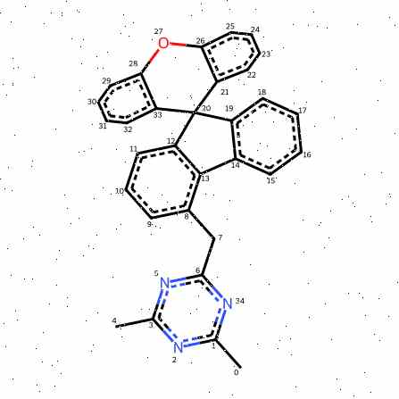 Cc1nc(C)nc(Cc2cccc3c2-c2ccccc2C32c3ccccc3Oc3ccccc32)n1